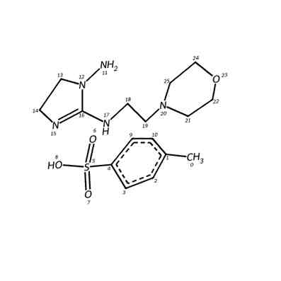 Cc1ccc(S(=O)(=O)O)cc1.NN1CCN=C1NCCN1CCOCC1